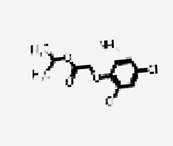 CC(C)OC(=O)COc1ccc(Cl)cc1Cl.N